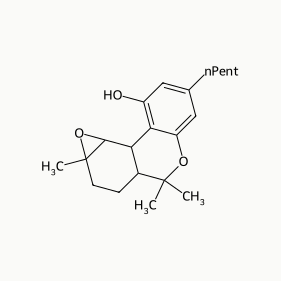 CCCCCc1cc(O)c2c(c1)OC(C)(C)C1CCC3(C)OC3C21